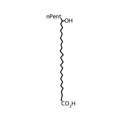 CCCCCC(O)CCCCCCCCCCCCCCCCCCCCCCCC(=O)O